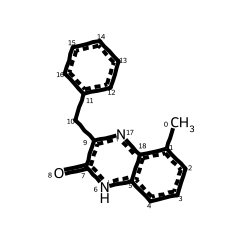 Cc1cccc2[nH]c(=O)c(Cc3ccccc3)nc12